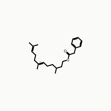 CC(C)=CCC/C(C)=C/CCC(C)CCOC(=O)Cc1ccccc1